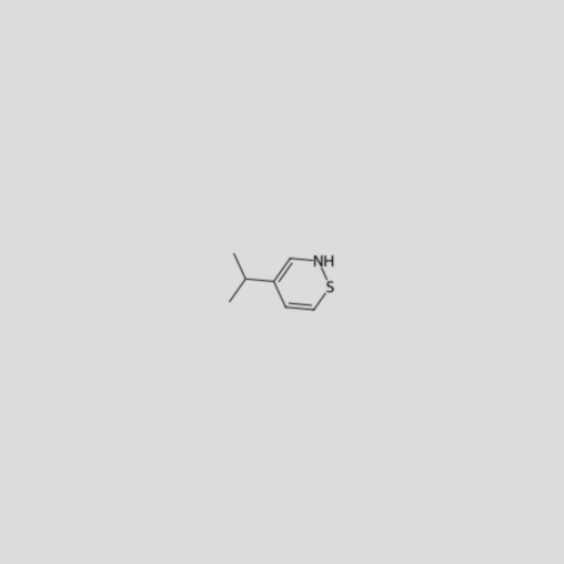 CC(C)C1=CNSC=C1